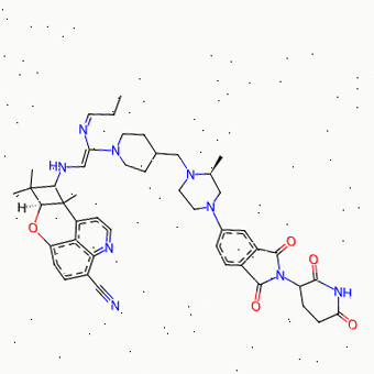 CC/C=N\C(=C/NC1C(C)(C)[C@@H]2Oc3ccc(C#N)c4nccc(c34)C12C)N1CCC(CN2CCN(c3ccc4c(c3)C(=O)N(C3CCC(=O)NC3=O)C4=O)C[C@@H]2C)CC1